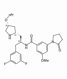 CCCO[C@H]1CN[C@@H](C[C@H](Cc2cc(F)cc(F)c2)NC(=O)c2cc(OC)cc(N3CCCC3=O)c2)C1